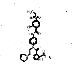 CCS(=N)(=O)c1ccc(C(=O)Nc2ccc(N(CCN3CCCCC3)C(=O)c3nc[nH]c3C(N)=O)cc2)c(Cl)c1